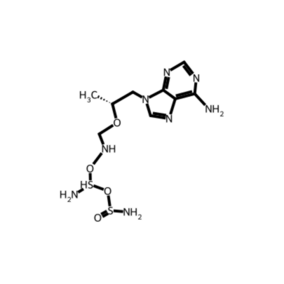 C[C@H](Cn1cnc2c(N)ncnc21)OCNO[SH](N)OS(N)=O